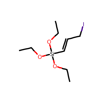 CCO[Si](C=CCI)(OCC)OCC